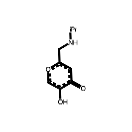 CC(C)NCc1cc(=O)c(O)co1